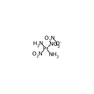 O=[N+]([O-])[O-].[NH2][Pt]([NH2])([N+](=O)[O-])[N+](=O)[O-]